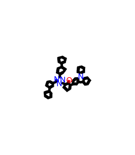 c1ccc(-c2ccc(-c3nc(-c4cccc(-c5ccccc5)c4)nc(-c4cccc5c4oc4cc6c(cc45)c4ccccc4n6-c4ccccc4)n3)cc2)cc1